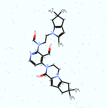 Cc1cc2c(n1CCN(C=O)c1nccc(N3CCn4c(cc5c4CC(C)(C)C5)C3=O)c1C=O)CC(C)(C)C2